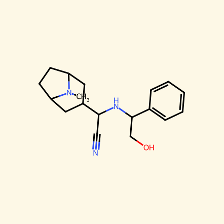 CN1C2CCC1CC(C(C#N)NC(CO)c1ccccc1)C2